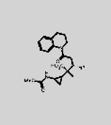 CCC[C@@H](CC(=O)N1CCCc2ccccc21)[C@@](C)(C(=O)O)C1CC1NC(=O)OC